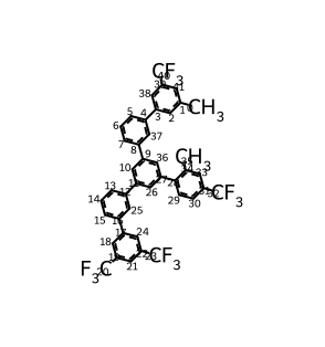 Cc1cc(-c2cccc(-c3cc(-c4cccc(-c5cc(C(F)(F)F)cc(C(F)(F)F)c5)c4)cc(-c4ccc(C(F)(F)F)cc4C)c3)c2)cc(C(F)(F)F)c1